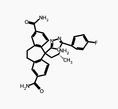 C[C@@H](N)CC1(c2nnc(-c3ccc(F)cc3)o2)c2ccc(C(N)=O)cc2CCc2cc(C(N)=O)ccc21